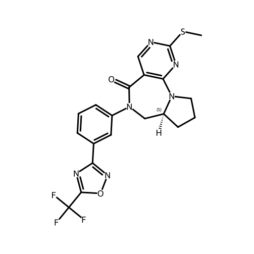 CSc1ncc2c(n1)N1CCC[C@H]1CN(c1cccc(-c3noc(C(F)(F)F)n3)c1)C2=O